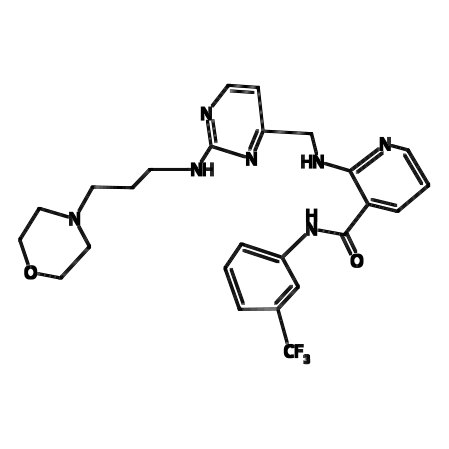 O=C(Nc1cccc(C(F)(F)F)c1)c1cccnc1NCc1ccnc(NCCCN2CCOCC2)n1